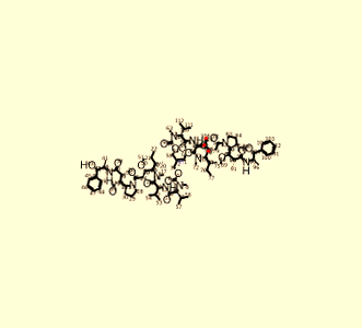 C/C=C(/COC(=O)N(C)[C@H](C(=O)N[C@H](C(=O)N(C)[C@@H]([C@@H](C)CC)[C@@H](CC(=O)N1CCC[C@H]1[C@H](C=O)[C@@H](C)C(=O)N[C@H](C)[C@@H](O)c1ccccc1)OC)C(C)C)C(C)C)COC(=O)N(C)[C@H](C(=O)N[C@H](C(=O)N(C)[C@@H]([C@@H](C)CC)[C@@H](CC(=O)N1CCC[C@H]1[C@H](OC)[C@@H](C)C(=O)N[C@H](C)[C@@H](O)c1ccccc1)OC)C(C)C)C(C)C